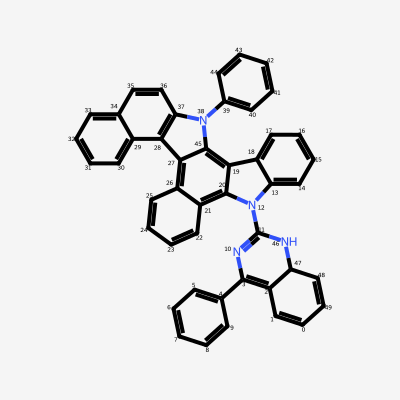 C1=CC2=C(c3ccccc3)N=C(n3c4ccccc4c4c3c3ccccc3c3c5c6ccccc6ccc5n(-c5ccccc5)c34)NC2C=C1